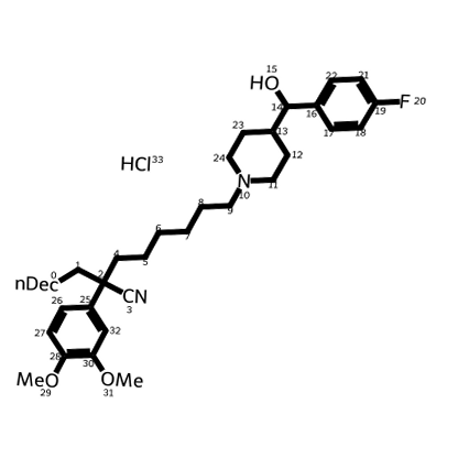 CCCCCCCCCCCC(C#N)(CCCCCCN1CCC(C(O)c2ccc(F)cc2)CC1)c1ccc(OC)c(OC)c1.Cl